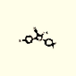 N#Cc1c(-c2ccc(Br)cc2)nn(C2CCC(F)(F)CC2)c1N